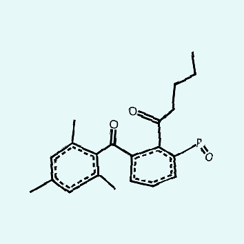 CCCCC(=O)c1c(P=O)cccc1C(=O)c1c(C)cc(C)cc1C